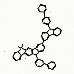 CC1(C)c2ccccc2-c2cc3c(cc21)-c1cc(-c2ccc4c(c2)c2ccccc2n4-c2ccc(-c4ccccc4)cc2)ccc1C3c1cccc(-c2ccccc2)c1